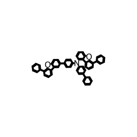 c1ccc(-c2ccc(N(c3ccc(-c4ccc5oc6c(-c7ccccc7)cccc6c5c4)cc3)c3cccc4oc5c(-c6ccccc6)cccc5c34)cc2)cc1